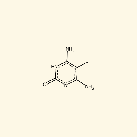 Cc1c(N)nc(=O)[nH]c1N